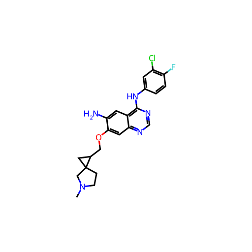 CN1CCC2(CC2COc2cc3ncnc(Nc4ccc(F)c(Cl)c4)c3cc2N)C1